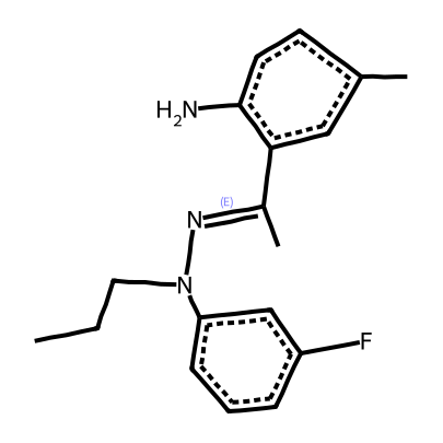 CCCN(/N=C(\C)c1cc(C)ccc1N)c1cccc(F)c1